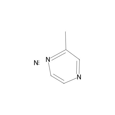 Cc1cnccn1.[N]